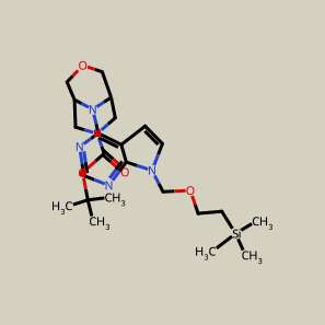 CC(C)(C)OC(=O)N1CC2COCC(C1)N2c1ncnc2c1ccn2COCC[Si](C)(C)C